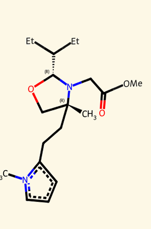 CCC(CC)[C@H]1OC[C@@](C)(CCc2cccn2C)N1CC(=O)OC